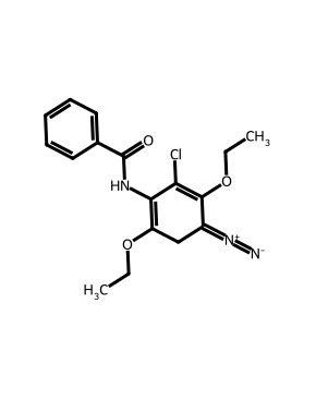 CCOC1=C(NC(=O)c2ccccc2)C(Cl)=C(OCC)C(=[N+]=[N-])C1